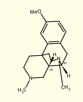 COc1ccc2c(c1)C13CCN(C)C[C@H]1[C@@H](C2)N(C)CC3